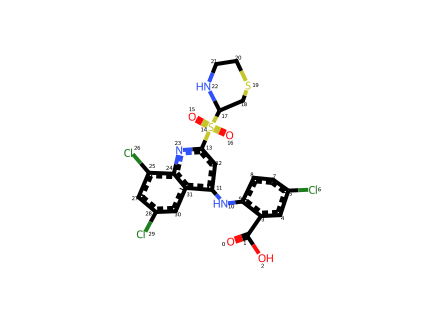 O=C(O)c1cc(Cl)ccc1Nc1cc(S(=O)(=O)C2CSCCN2)nc2c(Cl)cc(Cl)cc12